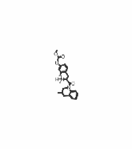 COC(=O)Oc1ccc(CC(N)C(=O)N2CC(C)Cc3ccccc32)c(Cl)c1